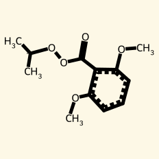 COc1cccc(OC)c1C(=O)OO[C](C)C